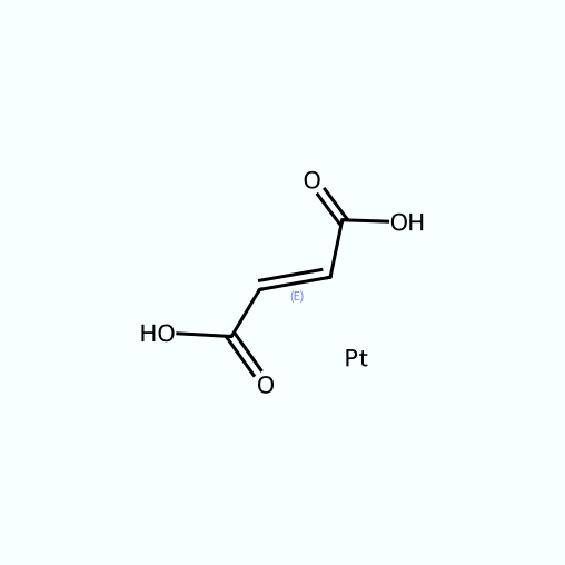 O=C(O)/C=C/C(=O)O.[Pt]